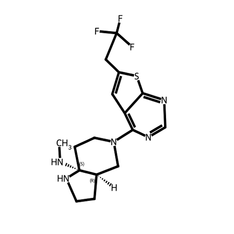 CN[C@]12CCN(c3ncnc4sc(CC(F)(F)F)cc34)C[C@H]1CCN2